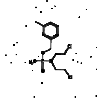 Cc1cccc(COP(N)(=O)N(CCCl)CCCl)c1